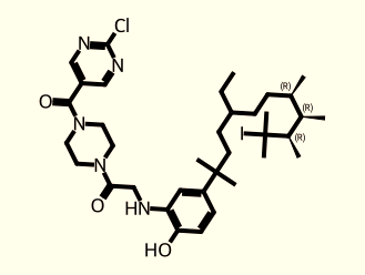 CCC(CC[C@@H](C)[C@@H](C)[C@@H](C)C(C)(C)I)CCC(C)(C)c1ccc(O)c(NCC(=O)N2CCN(C(=O)c3cnc(Cl)nc3)CC2)c1